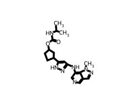 CC(C)NC(=O)OC1CCC(c2cc(Nc3cncc4cnn(C)c34)n[nH]2)C1